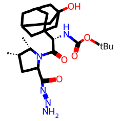 C[C@H]1CC(C(=O)N=NN)N(C(=O)[C@@H](NC(=O)OC(C)(C)C)C23CC4CC(CC(O)(C4)C2)C3)[C@H]1C